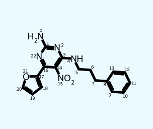 Nc1nc(NCCCc2ccccc2)c([N+](=O)[O-])c(-c2ccco2)n1